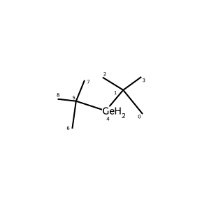 C[C](C)(C)[GeH2][C](C)(C)C